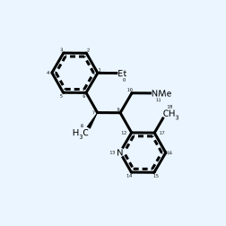 CCc1ccccc1[C@H](C)C(CNC)c1ncccc1C